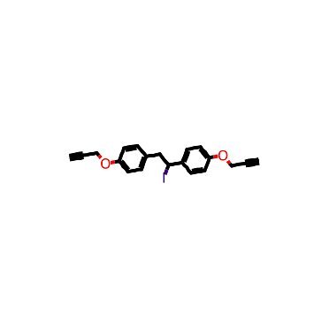 C#CCOc1ccc(CC(I)c2ccc(OCC#C)cc2)cc1